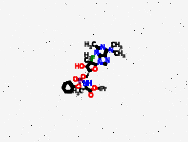 Cc1nc(N(C)C)c2ncn([C@@H]3O[C@H](COP(=O)(N[C@@H](C)C(=O)OC(C)C)Oc4ccccc4)[C@@H](O)[C@@]3(C)F)c2n1